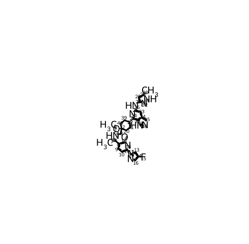 CO[C@]1(C(=O)N[C@@H](C)c2ccc(-n3cc(F)cn3)nc2)CC[C@H](c2nc(Nc3cc(C)[nH]n3)cc3cn[nH]c32)CC1